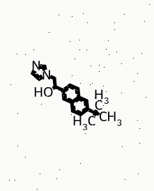 CC(C)(C)c1ccc2cc(C(O)Cn3ccnc3)ccc2c1